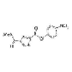 CNC(=O)c1cnn(C(=O)Oc2ccc([N+](=O)[O-])cc2)c1